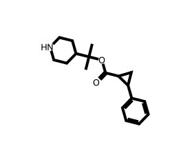 CC(C)(OC(=O)C1CC1c1ccccc1)C1CCNCC1